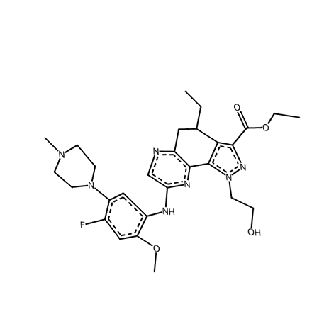 CCOC(=O)c1nn(CCO)c2c1C(CC)Cc1ncc(Nc3cc(N4CCN(C)CC4)c(F)cc3OC)nc1-2